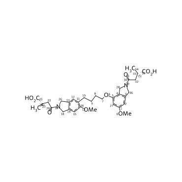 COc1cc2c(c(OCCCCc3cc4c(cc3OC)CN(C(=O)C[C@H](C)C(=O)O)C4)c1)CN(C(=O)C[C@H](C)C(=O)O)C2